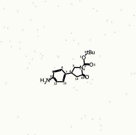 CC(C)(C)OC(=O)N1CC(c2ccc(N)cc2)CC1=O